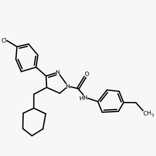 CCc1ccc(NC(=O)N2CC(CC3CCCCC3)C(c3ccc(Cl)cc3)=N2)cc1